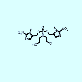 Cn1c(COP(=O)(OCc2cnc([N+](=O)[O-])n2C)N(CCO)CCCl)cnc1[N+](=O)[O-]